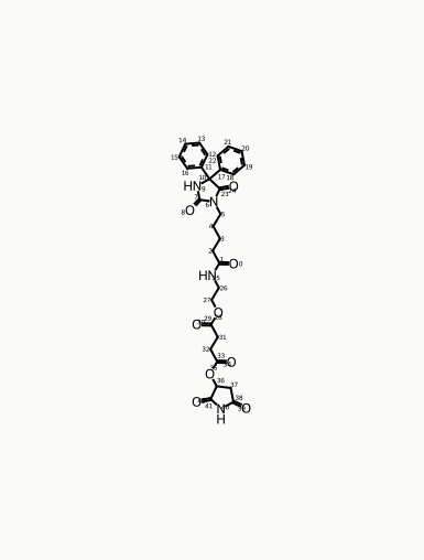 O=C(CCCCN1C(=O)NC(c2ccccc2)(c2ccccc2)C1=O)NCCOC(=O)CCC(=O)OC1CC(=O)NC1=O